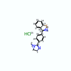 CN1CCN=C1c1ccc(-c2nsc3ccccc23)cc1.Cl